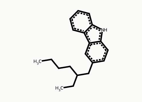 CCCCC(CC)Cc1ccc2[nH]c3ccccc3c2c1